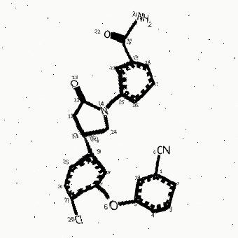 N#Cc1cccc(Oc2cc([C@H]3CC(=O)N(c4cccc(C(N)=O)c4)C3)ccc2Cl)c1